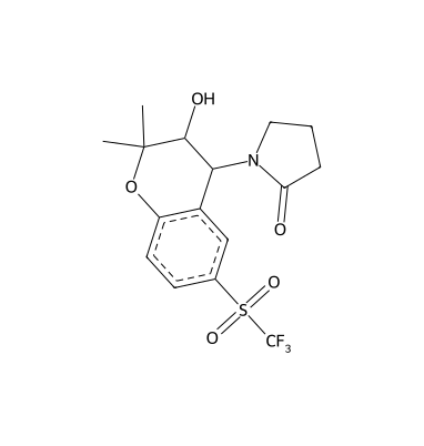 CC1(C)Oc2ccc(S(=O)(=O)C(F)(F)F)cc2C(N2CCCC2=O)C1O